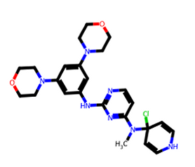 CN(c1ccnc(Nc2cc(N3CCOCC3)cc(N3CCOCC3)c2)n1)C1(Cl)C=CNC=C1